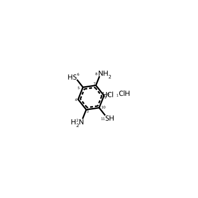 Cl.Cl.Nc1cc(S)c(N)cc1S